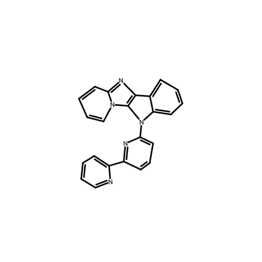 c1ccc(-c2cccc(-n3c4ccccc4c4nc5ccccn5c43)n2)nc1